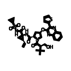 C=C[C@@H]1C[C@]1(NC(=O)[C@@H]1C[C@@H](Oc2nc3ccccc3nc2-c2cccs2)CN1C(=O)[C@@H](CO)C(C)(C)C)C(=O)NS(=O)(=O)C1CC1